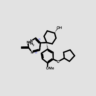 C=C(N)/N=C\C(=C/N)[C@]1(c2ccc(OC)c(OC3CCCC3)c2)CC[C@@H](O)CC1